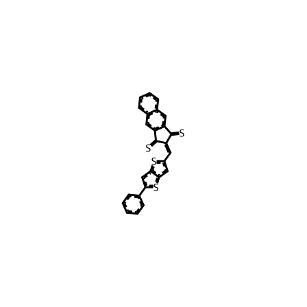 S=C1C(=Cc2cc3sc(-c4ccccc4)cc3s2)C(=S)c2cc3ccccc3cc21